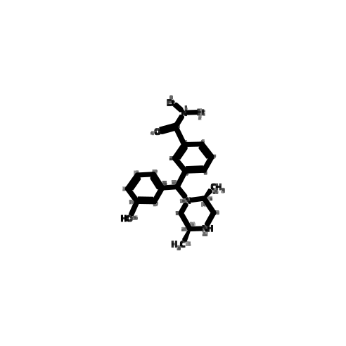 CCN(CC)C(=O)c1cccc(C(c2cccc(O)c2)N2C[C@H](C)NC[C@@H]2C)c1